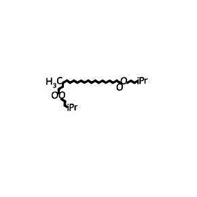 CC(C)CCCOC(=O)CCCCCCCCCCCCCCCC(C)CCC(=O)OCCCC(C)C